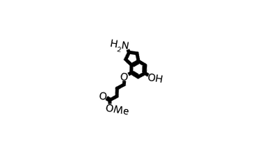 COC(=O)CCCOc1cc(O)cc2c1CC(N)C2